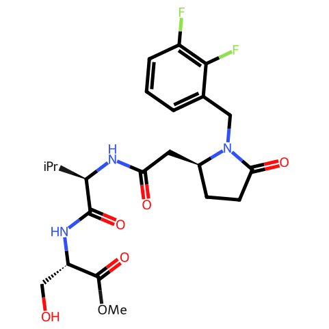 COC(=O)[C@H](CO)NC(=O)[C@H](NC(=O)C[C@@H]1CCC(=O)N1Cc1cccc(F)c1F)C(C)C